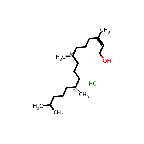 CC(=CCO)CCC[C@H](C)CCC[C@H](C)CCCC(C)C.Cl